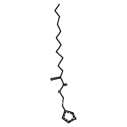 CCCCCCCCCCCC(=O)NOCCc1ccsc1